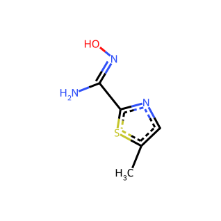 Cc1cnc(/C(N)=N/O)s1